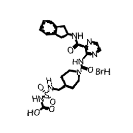 Br.O=C(O)NS(=O)(=O)NCC1CCN(C(=O)Nc2nccnc2C(=O)NC2Cc3ccccc3C2)CC1